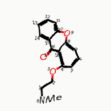 CNCCOc1cccc2oc3ccccc3c(=O)c12